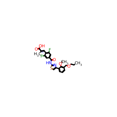 CCCOCc1cccc(-c2csc(NC(=O)c3cc(F)c(/C=C(\C)C(=O)O)c(F)c3)n2)c1OC